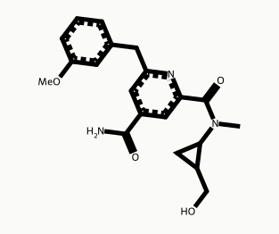 COc1cccc(Cc2cc(C(N)=O)cc(C(=O)N(C)C3CC3CO)n2)c1